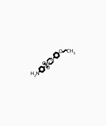 CCCOc1ccc(N2CCN(S(=O)(=O)c3ccc(N)cc3)CC2)cc1